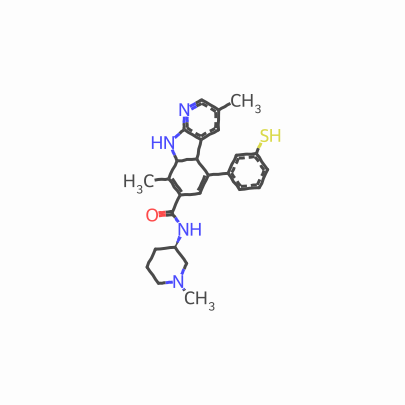 CC1=C(C(=O)N[C@@H]2CCCN(C)C2)C=C(c2cccc(S)c2)C2c3cc(C)cnc3NC12